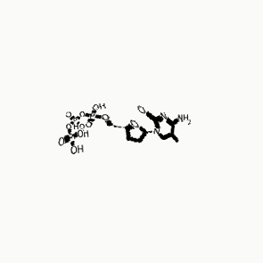 Cc1cn([C@@H]2CC[C@H](COP(=O)(O)OP(=O)(O)OP(=O)(O)O)O2)c(=O)nc1N